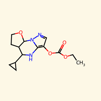 CCOC(=O)Oc1cnn2c1NC(C1CC1)C1CCOC12